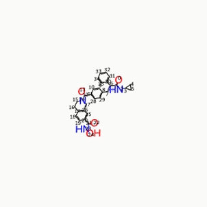 O=C(NC1CC1)/C(=C/c1ccc(C(=O)N2CCc3ccc(C(=O)NO)cc3C2)cc1)c1ccccc1